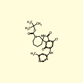 Cc1cc(Nc2cc(Cl)c3n(c2=O)C2(CCCCN(C(=O)OC(C)(C)C)C2)NC3=O)ncn1